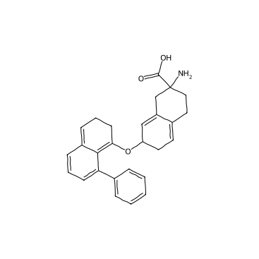 NC1(C(=O)O)CCC2=CCC(OC3=c4c(-c5ccccc5)cccc4=CCC3)C=C2C1